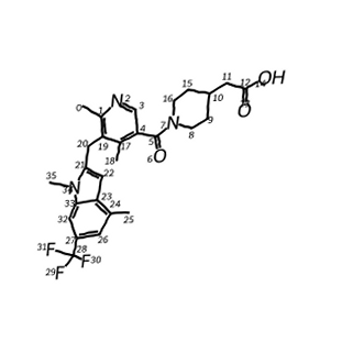 Cc1ncc(C(=O)N2CCC(CC(=O)O)CC2)c(C)c1Cc1cc2c(C)cc(C(F)(F)F)cc2n1C